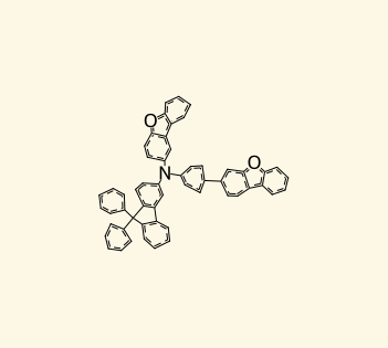 c1ccc(C2(c3ccccc3)c3ccccc3-c3cc(N(c4ccc(-c5ccc6c(c5)oc5ccccc56)cc4)c4ccc5oc6ccccc6c5c4)ccc32)cc1